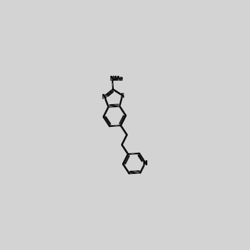 CNc1nc2ccc(CCc3cccnc3)cc2s1